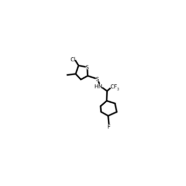 CC1CC(SNC(C2CCC(F)CC2)C(F)(F)F)SC1Cl